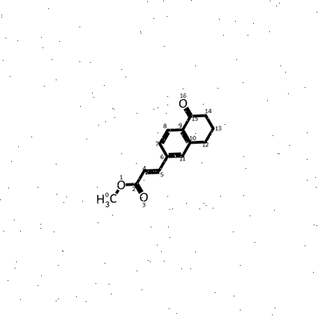 COC(=O)/C=C/c1ccc2c(c1)CCCC2=O